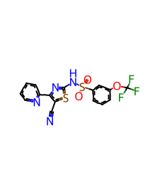 N#Cc1sc(NS(=O)(=O)c2cccc(OC(F)(F)F)c2)nc1-c1ccccn1